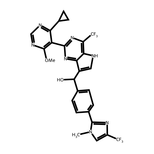 COc1ncnc(C2CC2)c1-c1nc(C(F)(F)F)c2[nH]cc(C(O)c3ccc(-c4nc(C(F)(F)F)cn4C)cc3)c2n1